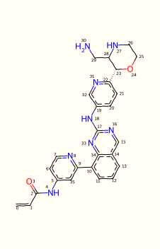 C=CC(=O)Nc1ccnc(-c2cccc3cnc(Nc4ccc([C@H]5OCCNC5CN)nc4)nc23)c1